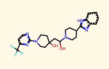 OC(CC1(O)CCN(c2nccc(C(F)(F)F)n2)CC1)N1CCC(c2nc3ccccc3[nH]2)CC1